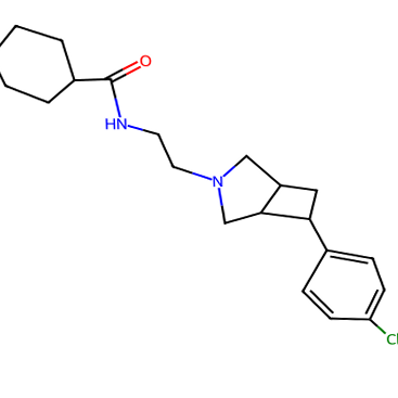 O=C(NCCN1CC2CC(c3ccc(Cl)cc3)C2C1)C1CCCCC1